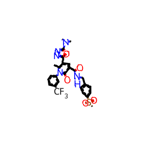 Cc1c(-c2nnc(N(C)C)o2)cc(C(=O)NCc2ccc(S(C)(=O)=O)cc2)c(=O)n1-c1cccc(C(F)(F)F)c1